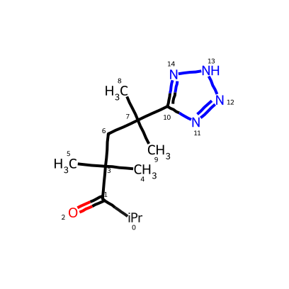 CC(C)C(=O)C(C)(C)CC(C)(C)c1nn[nH]n1